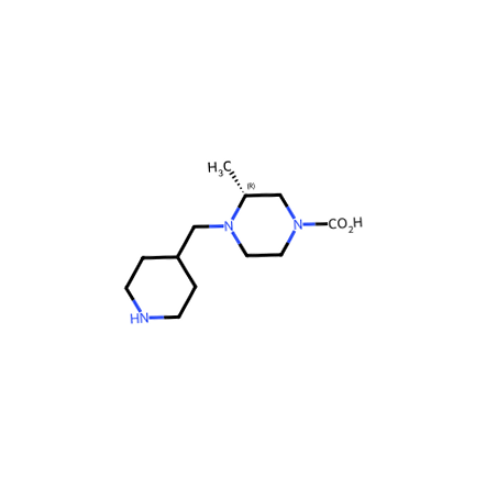 C[C@@H]1CN(C(=O)O)CCN1CC1CCNCC1